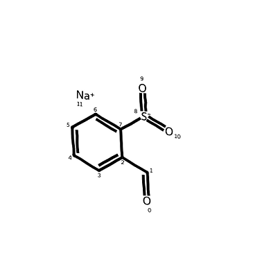 O=Cc1ccccc1[S-](=O)=O.[Na+]